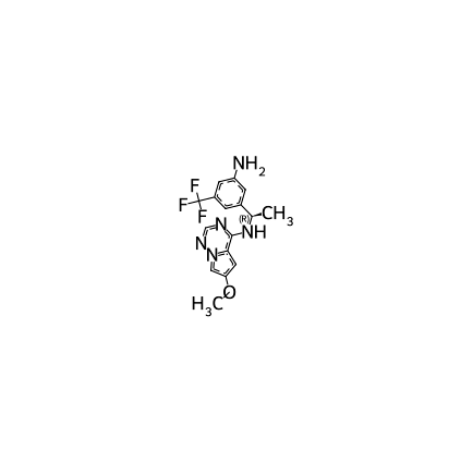 COc1cc2c(N[C@H](C)c3cc(N)cc(C(F)(F)F)c3)ncnn2c1